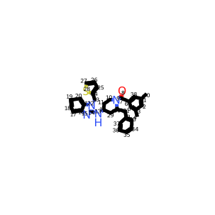 Cc1cc(C)cc(C(=O)N2CCC(Nc3nc4ccccc4n3Cc3cccs3)CC2Cc2ccccc2)c1